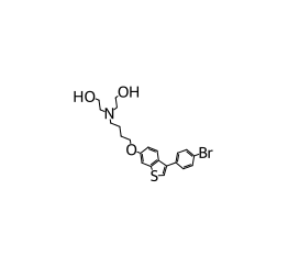 OCCN(CCO)CCCCOc1ccc2c(-c3ccc(Br)cc3)csc2c1